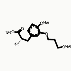 COCCCOc1cc(C[C@@H](C(=O)OC)C(C)C)ccc1OC